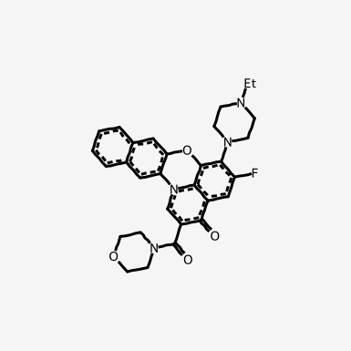 CCN1CCN(c2c(F)cc3c(=O)c(C(=O)N4CCOCC4)cn4c3c2Oc2cc3ccccc3cc2-4)CC1